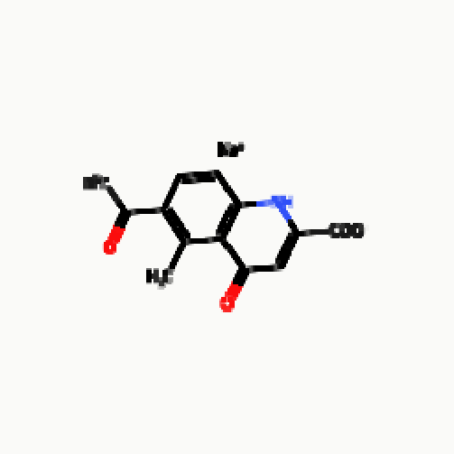 CCCC(=O)c1ccc2[nH]c(C(=O)[O-])cc(=O)c2c1C.[Na+]